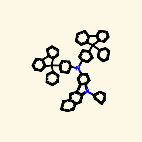 c1ccc(-n2c3ccc(N(c4ccc(C5(c6ccccc6)c6ccccc6-c6ccccc65)cc4)c4ccc(C5(c6ccccc6)c6ccccc6-c6ccccc65)cc4)cc3c3cc4ccccc4cc32)cc1